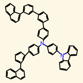 c1cc(-c2ccc(N(c3ccc(-c4cccc(-c5cccc6ccccc56)c4)cc3)c3ccc(-n4c5ccccc5c5ccccc54)cc3)cc2)cc(-c2cccc(-c3cccc4ccccc34)c2)c1